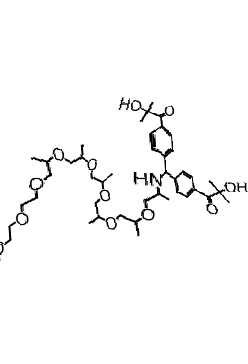 COCCOCCOCC(C)OCC(C)OCC(C)OCC(C)OCC(C)OCC(C)NC(c1ccc(C(=O)C(C)(C)O)cc1)c1ccc(C(=O)C(C)(C)O)cc1